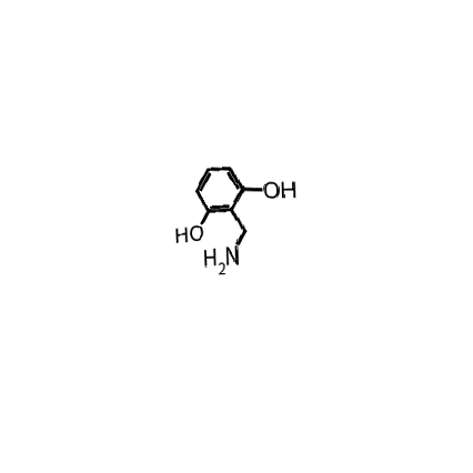 NCc1c(O)cccc1O